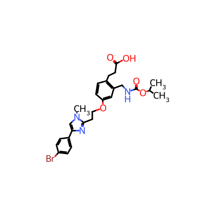 CC(C)OC(=O)NCc1cc(OCCc2nc(-c3ccc(Br)cc3)cn2C)ccc1CCC(=O)O